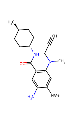 C#CCN(C)c1cc(NC)c(N)cc1C(=O)N[C@H]1CC[C@H](C)CC1